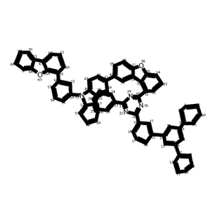 c1ccc(-c2cc(-c3ccccc3)cc(-c3cccc(-c4nc(-c5ccccc5)nc(-c5cccc6oc7ccc(-c8ccc9c(c8)c8ccccc8n9-c8cccc(-c9cccc%10c9oc9ccccc9%10)c8)cc7c56)n4)c3)c2)cc1